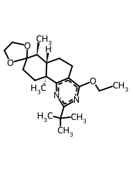 CCOc1nc(C(C)(C)C)nc2c1CC[C@H]1[C@H](C)C3(CC[C@]21C)OCCO3